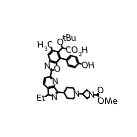 CCC1N=C(C2CCN(C3CN(C(=O)OC)C3)CC2)c2nc(-c3nc4cc(C)c(C(OC(C)(C)C)C(=O)O)c(-c5ccc(O)cc5)c4o3)ccc21